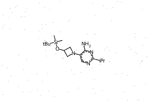 CC(C)c1ncc(N2CC(O[Si](C)(C)C(C)(C)C)C2)c(N)n1